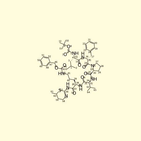 CC(C)C[C@H](NC(=O)OC(C)(C)C)C(=O)N[C@H](Cc1ccccc1)C(=O)N1CCC[C@H]1C(=O)N[C@H](C(=O)N[C@H](CCCNC(=O)OCc1ccccc1)C(=O)NC1=NCCC(C)S1)C(C)C